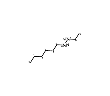 CCCCCCNNCC